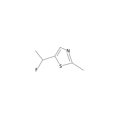 Cc1ncc(C(C)F)s1